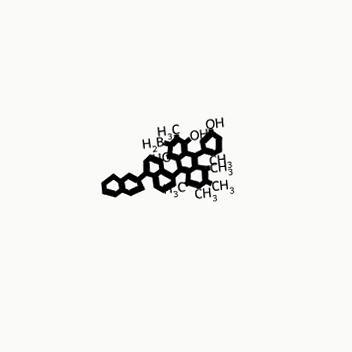 Bc1c(C)c(O)c2c(-c3cc(O)ccc3C)c3c(C)c(C)c(C)c(C)c3c(-c3cccc4c(-c5ccc6c(c5)CCC=C6)cccc34)c2c1O